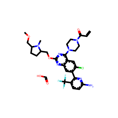 C=CC(=O)N1CCN(c2nc(OCC3CCC(COC)N3C)nc3cc(-c4nc(N)ccc4C(F)(F)F)c(Cl)cc23)CC1.O=CO